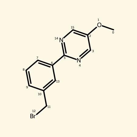 COc1cnc(-c2cccc(CBr)c2)nc1